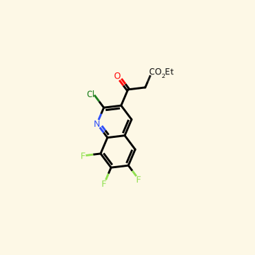 CCOC(=O)CC(=O)c1cc2cc(F)c(F)c(F)c2nc1Cl